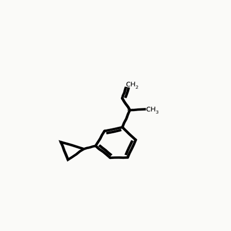 C=C[C](C)c1cccc(C2CC2)c1